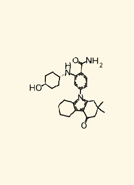 CC1(C)CC(=O)c2c3c(n(-c4ccc(C(N)=O)c(N[C@H]5CC[C@H](O)CC5)c4)c2C1)CCCC3